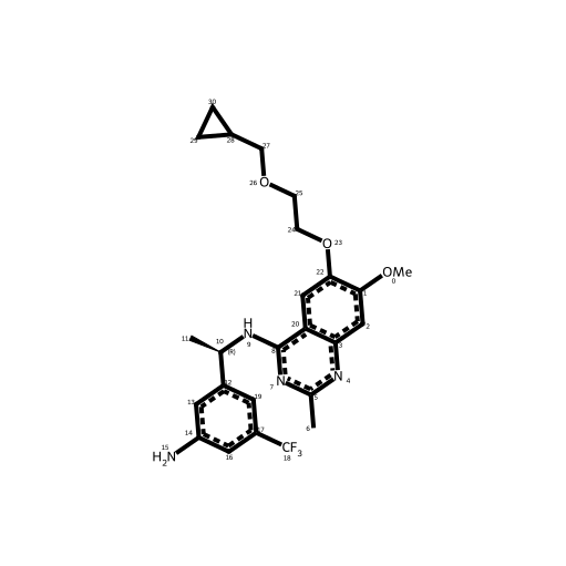 COc1cc2nc(C)nc(N[C@H](C)c3cc(N)cc(C(F)(F)F)c3)c2cc1OCCOCC1CC1